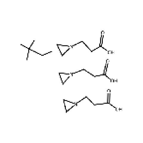 CCC(C)(C)C.O=C(O)CCN1CC1.O=C(O)CCN1CC1.O=C(O)CCN1CC1